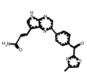 Cc1csc(C(=O)c2ccc(-c3cnc4[nH]cc(/C=C/C(N)=O)c4n3)cc2)n1